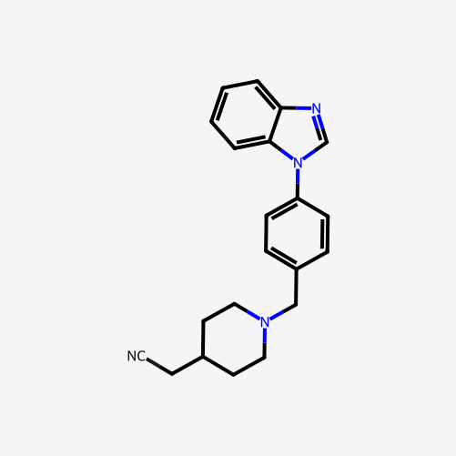 N#CCC1CCN(Cc2ccc(-n3cnc4ccccc43)cc2)CC1